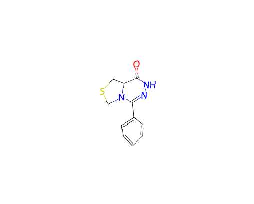 O=C1NN=C(c2ccccc2)N2CSCC12